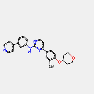 N#Cc1cc(-c2ccnc(Nc3cccc(-c4ccncc4)c3)n2)ccc1OC1CCOCC1